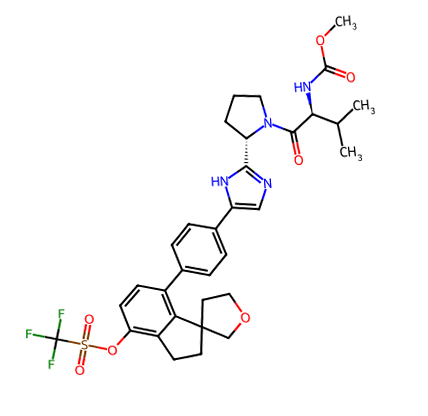 COC(=O)N[C@H](C(=O)N1CCC[C@H]1c1ncc(-c2ccc(-c3ccc(OS(=O)(=O)C(F)(F)F)c4c3C3(CCOC3)CC4)cc2)[nH]1)C(C)C